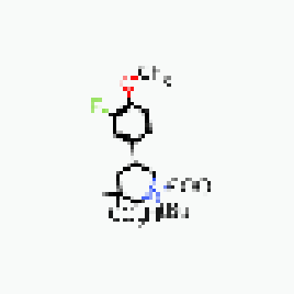 CC1(C(=O)O)CC(c2ccc(OC(F)(F)F)c(F)c2)C[N+](C(=O)[O-])(C(C)(C)C)C1